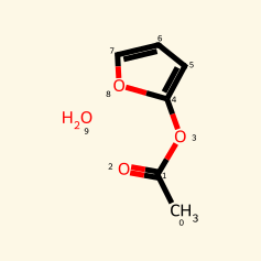 CC(=O)Oc1ccco1.O